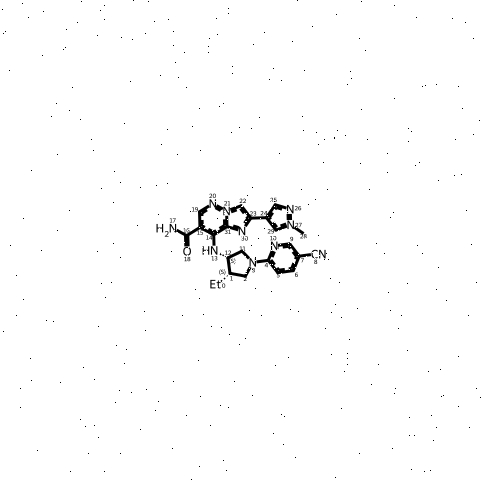 CC[C@H]1CN(c2ccc(C#N)cn2)C[C@H]1Nc1c(C(N)=O)cnn2cc(-c3cnn(C)c3)nc12